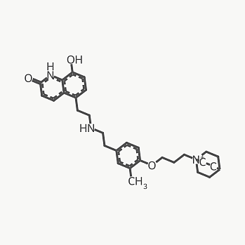 Cc1cc(CCNCCc2ccc(O)c3[nH]c(=O)ccc23)ccc1OCCC[N+]12CCC(CC1)CC2